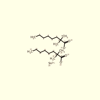 CCCCCCC(C)(C)C(=O)[O-].CCCCCCC(C)(C)C(=O)[O-].[Sn+2]